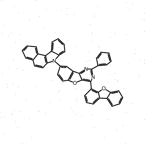 c1ccc(-c2nc(-c3cccc4c3oc3ccccc34)c3oc4ccc(-n5c6ccccc6c6c7ccccc7ccc65)cc4c3n2)cc1